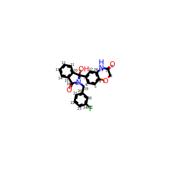 O=C1COc2ccc(C3(O)c4ccccc4C(=O)N3Cc3cccc(F)c3)cc2N1